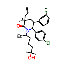 C=CC[C@@]1(C)CC(c2cccc(Cl)c2)C(c2ccc(Cl)cc2)N(C(CC)CCCC(C)(C)O)C1=O